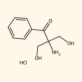 Cl.NC(CO)(CO)C(=O)c1ccccc1